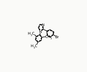 Cc1cc(C)c(-n2ccnc2-c2ccc(Br)cc2)c(C)c1